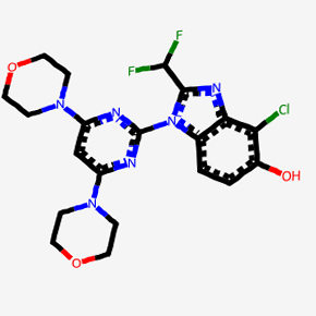 Oc1ccc2c(nc(C(F)F)n2-c2nc(N3CCOCC3)cc(N3CCOCC3)n2)c1Cl